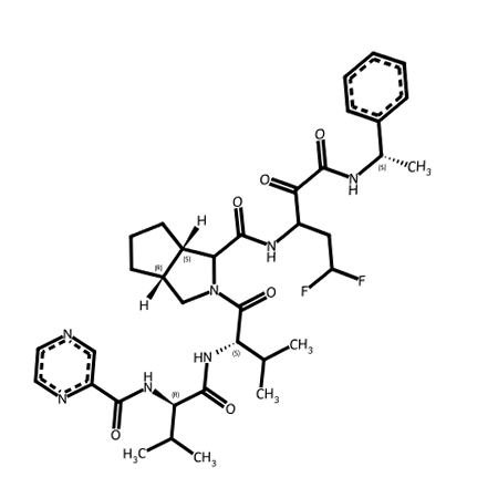 CC(C)[C@H](NC(=O)[C@H](NC(=O)c1cnccn1)C(C)C)C(=O)N1C[C@@H]2CCC[C@@H]2C1C(=O)NC(CC(F)F)C(=O)C(=O)N[C@@H](C)c1ccccc1